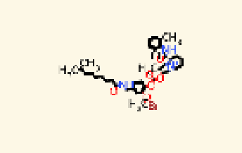 CCC[N+]1(CCOC(=O)Oc2ccc(CNC(=O)CCCC/C=C/C(C)C)cc2OC)CCCC[C@H]1C(=O)Nc1c(C)cccc1C.[Br-]